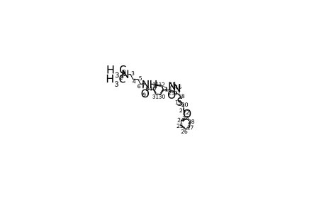 CN(C)CCCCNC(=O)c1ccc(-c2nnc(CSCCOc3ccccc3)o2)cc1